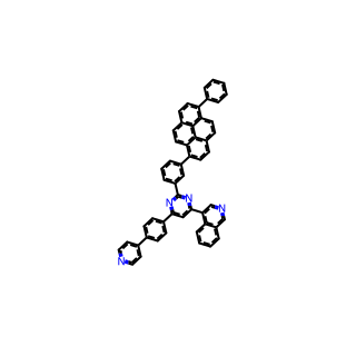 c1ccc(-c2ccc3ccc4c(-c5cccc(-c6nc(-c7ccc(-c8ccncc8)cc7)cc(-c7cncc8ccccc78)n6)c5)ccc5ccc2c3c54)cc1